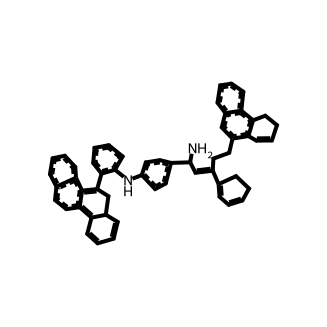 NC(/C=C(\CCc1cc2ccccc2c2c1C=CCC2)C1=CC=CCC1)c1ccc(Nc2ccccc2C2=c3c(ccc4ccccc34)=C3C=CC=CC3C2)cc1